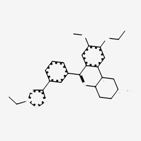 CCOc1cc2c(cc1OC)C(c1cccc(-c3nnn(CC)n3)c1)=N[C@@H]1CC[C@@H](O)C[C@H]21